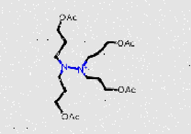 CC(=O)OCCCN(CCCOC(C)=O)[N+](CCCOC(C)=O)CCCOC(C)=O